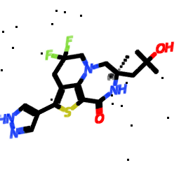 CC(C)(O)C[C@]1(C)CN2CC(F)(F)Cc3c(-c4cn[nH]c4)sc(c32)C(=O)N1